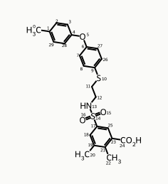 Cc1ccc(Oc2ccc(SCCNS(=O)(=O)c3cc(C)c(C)c(C(=O)O)c3)cc2)cc1